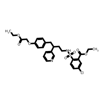 CCOC(=O)COc1ccc(CC(CCNS(=O)(=O)c2ccc(Cl)cc2C(=O)OCC)c2cccnc2)cc1